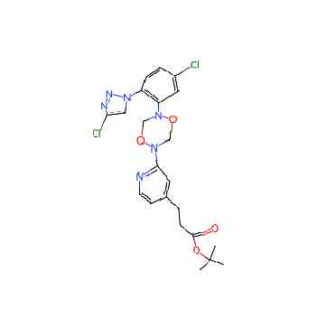 CC(C)(C)OC(=O)CCc1ccnc(N2CON(c3cc(Cl)ccc3-n3cc(Cl)nn3)CO2)c1